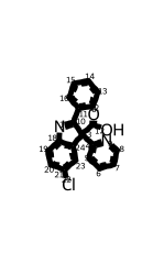 O=C(O)C1(c2ccccn2)C(c2ccccc2)=Nc2ccc(Cl)cc21